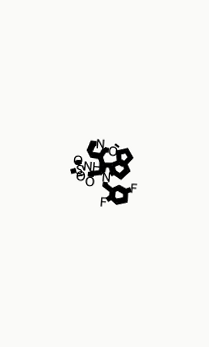 COc1ncccc1-c1c(C(=O)NS(C)(=O)=O)n(Cc2cc(F)ccc2F)c2ccc3c(c12)CCC3